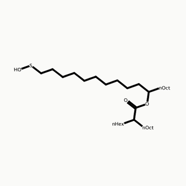 CCCCCCCCC(CCCCCCCCCCSO)OC(=O)C(CCCCCC)CCCCCCCC